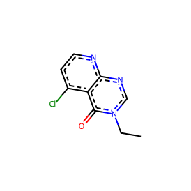 CCn1cnc2nccc(Cl)c2c1=O